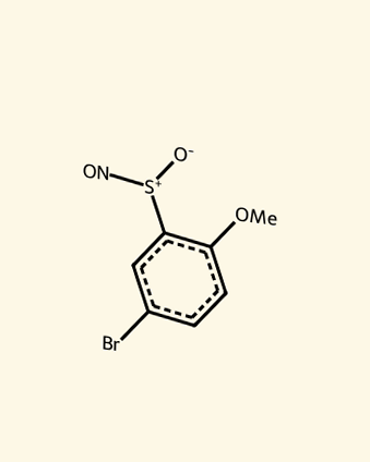 COc1ccc(Br)cc1[S+]([O-])N=O